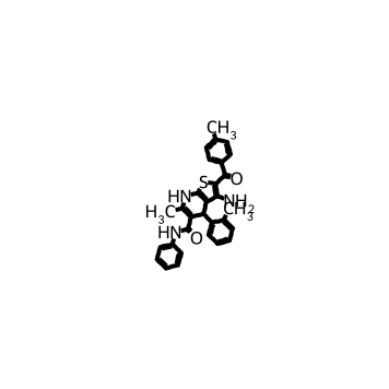 CC1=C(C(=O)Nc2ccccc2)C(c2ccccc2C)c2c(sc(C(=O)c3ccc(C)cc3)c2N)N1